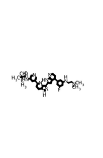 CN(C)CCNc1cc(F)cc(-c2ccnc3[nH]c(-c4n[nH]c5ccc(-c6cncc(NC(=O)C(C)(C)C)c6)nc45)cc23)c1